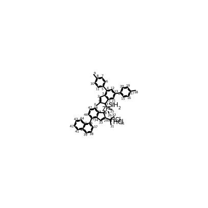 CC1=Cc2c(-c3ccc(C)cc3)cc(-c3ccc(C)cc3)cc2[CH]1[Zr]([CH3])([CH3])(=[SiH2])[CH]1C(C(C)C)=Cc2c(-c3cccc4ccccc34)cccc21.Cl.Cl